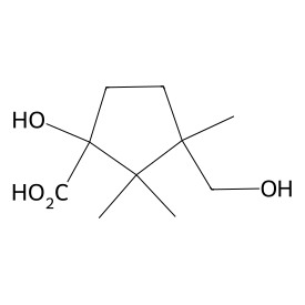 CC1(CO)CCC(O)(C(=O)O)C1(C)C